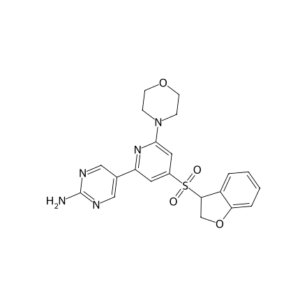 Nc1ncc(-c2cc(S(=O)(=O)C3COc4ccccc43)cc(N3CCOCC3)n2)cn1